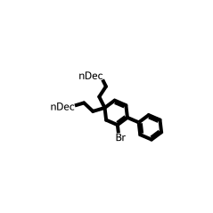 CCCCCCCCCCCCC1(CCCCCCCCCCCC)C=CC(c2ccccc2)=C(Br)C1